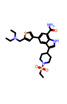 CCN(CC)Cc1cc(-c2cc(C(N)=O)c3[nH]cc(C4CCN(S(=O)(=O)CC)CC4)c3c2)cs1